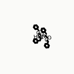 O=C(N[C@@H](CN[C@@H](Cc1ccccc1)C(=O)OCc1ccccc1)Cc1ccccc1)OCc1ccccc1